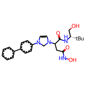 CC(C)(C)[C@@H](CO)NC(=O)C(CC(=O)NO)N1C=CN(c2ccc(-c3ccccc3)cc2)C1